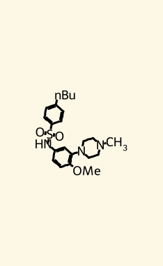 CCCCc1ccc(S(=O)(=O)Nc2ccc(OC)c(N3CCN(C)CC3)c2)cc1